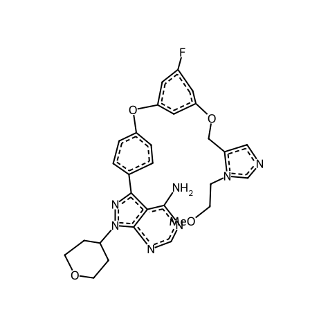 COCCn1cncc1COc1cc(F)cc(Oc2ccc(-c3nn(C4CCOCC4)c4ncnc(N)c34)cc2)c1